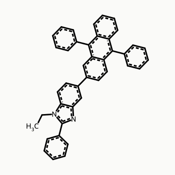 CCn1c(-c2ccccc2)nc2cc(-c3ccc4c(-c5ccccc5)c5ccccc5c(-c5ccccc5)c4c3)ccc21